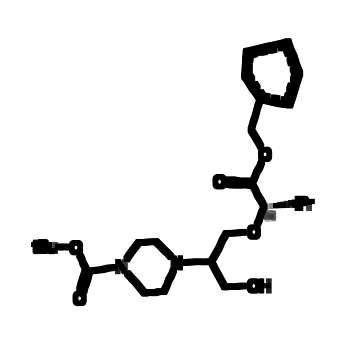 CC(C)[C@H](OCC(CO)N1CCN(C(=O)OC(C)(C)C)CC1)C(=O)OCc1ccccc1